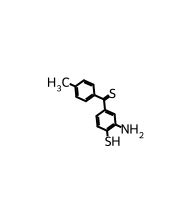 Cc1ccc(C(=S)c2ccc(S)c(N)c2)cc1